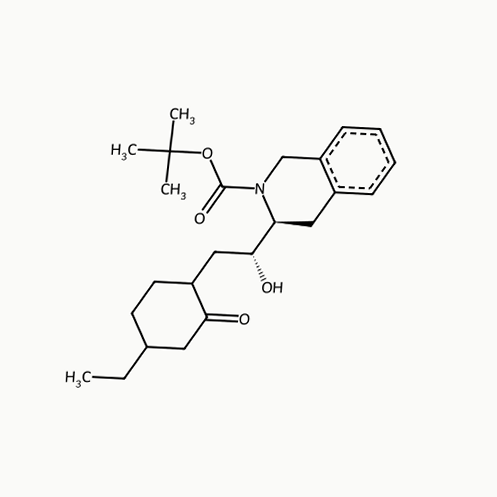 CCC1CCC(C[C@@H](O)[C@@H]2Cc3ccccc3CN2C(=O)OC(C)(C)C)C(=O)C1